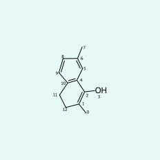 CC1=C(O)c2cc(C)ccc2CC1